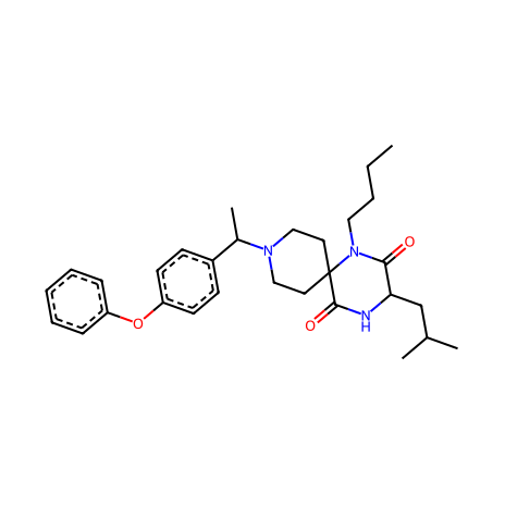 CCCCN1C(=O)C(CC(C)C)NC(=O)C12CCN(C(C)c1ccc(Oc3ccccc3)cc1)CC2